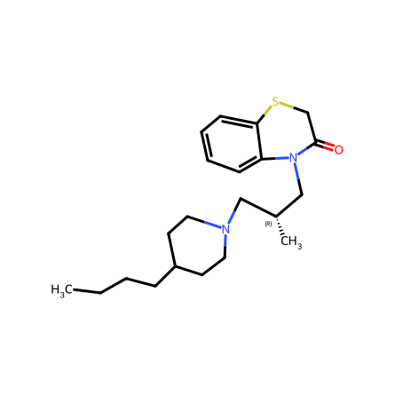 CCCCC1CCN(C[C@@H](C)CN2C(=O)CSc3ccccc32)CC1